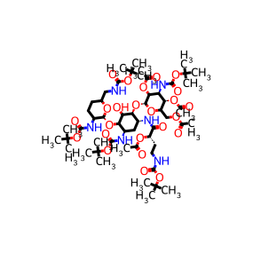 CC(=O)OCC1O[C@H](O[C@@H]2C(O)C(O[C@H]3OC(CNC(=O)OC(C)(C)C)CCC3NC(=O)OC(C)(C)C)[C@H](NC(=O)OC(C)(C)C)C[C@H]2NC(=O)[C@H](CCNC(=O)OC(C)(C)C)OC(C)=O)C(OC(C)=O)[C@@H](NC(=O)OC(C)(C)C)[C@@H]1OC(C)=O